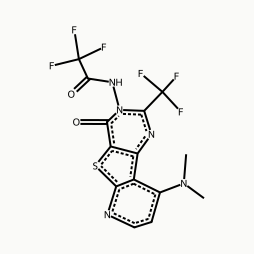 CN(C)c1ccnc2sc3c(=O)n(NC(=O)C(F)(F)F)c(C(F)(F)F)nc3c12